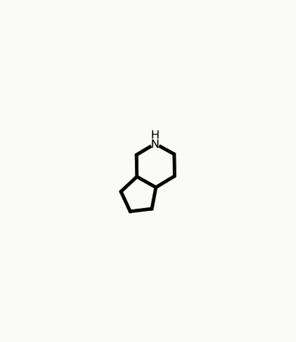 C1CC2CCNCC2C1